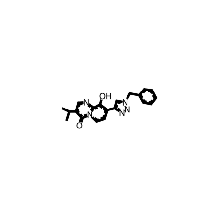 CC(C)c1cnc2c(O)c(-c3cn(Cc4ccccc4)nn3)ccn2c1=O